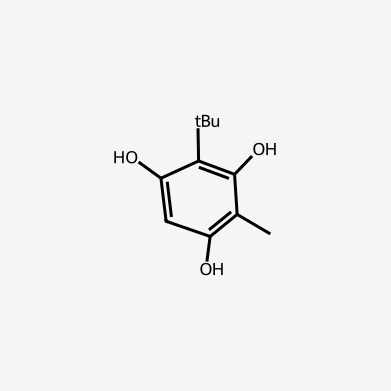 Cc1c(O)cc(O)c(C(C)(C)C)c1O